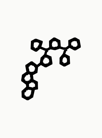 c1ccc(N(c2ccccc2)c2cccc(N(c3ccccc3)c3cccc(-c4ccc5ccc6c7ccccc7ccc6c5c4)c3)c2)cc1